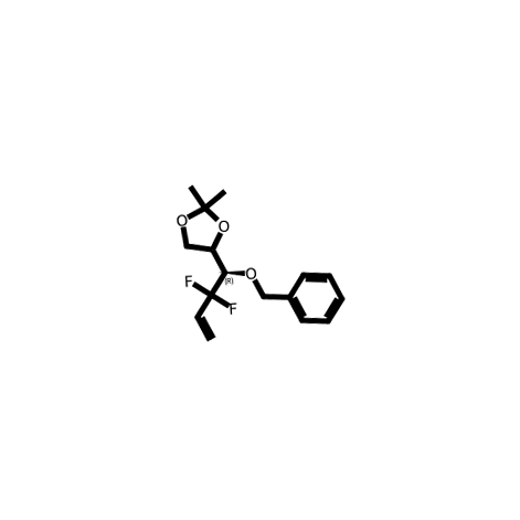 C=CC(F)(F)[C@H](OCc1ccccc1)C1COC(C)(C)O1